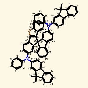 CC1(C)c2ccccc2-c2ccc(N(c3ccccc3)c3ccc4c(c3)C3(c5ccccc5-4)c4cc(N(c5ccccc5)c5ccc6c(c5)C(C)(C)c5ccccc5-6)ccc4-c4sc5ccccc5c43)cc21